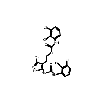 CC(C)(C)c1n[nH]c(NC(=O)Nc2cccc(Cl)c2Cl)c1CCOC(=O)Nc1cccc(Cl)c1Cl